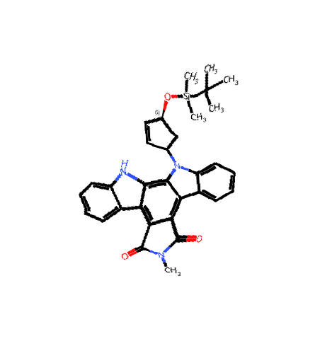 CN1C(=O)c2c(c3c4ccccc4n(C4C=C[C@@H](O[Si](C)(C)C(C)(C)C)C4)c3c3[nH]c4ccccc4c23)C1=O